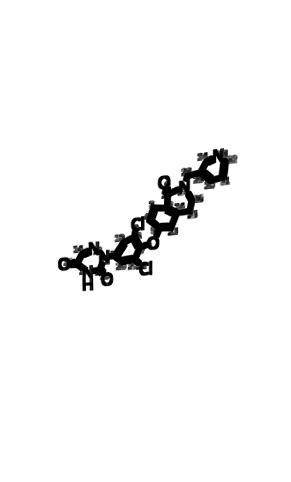 O=C1c2ccc(Oc3c(Cl)cc(-n4ncc(=O)[nH]c4=O)cc3Cl)cc2CCN1Cc1cccnc1